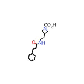 O=C(C=Cc1ccccc1)NCCC1CN(C(=O)O)C1